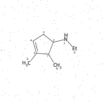 CCNC1CC=C(C)C1C